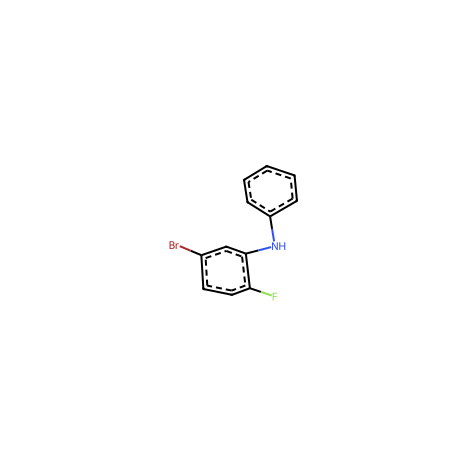 Fc1ccc(Br)cc1Nc1ccccc1